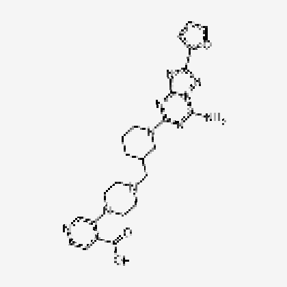 Nc1nc(N2CCCC(CN3CCN(c4cnccc4C(=O)O)CC3)C2)nc2nc(-c3ccco3)nn12